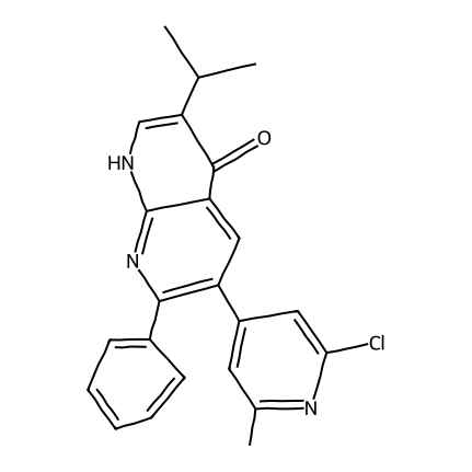 Cc1cc(-c2cc3c(=O)c(C(C)C)c[nH]c3nc2-c2ccccc2)cc(Cl)n1